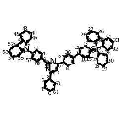 c1ccc(-c2cc(-c3ccc(-c4ccc5c(c4)-c4ccccc4[Si]5(c4ccccc4)c4ccccc4)cc3)nc(-c3ccc(-n4c5ccccc5c5ccccc54)cc3)n2)cc1